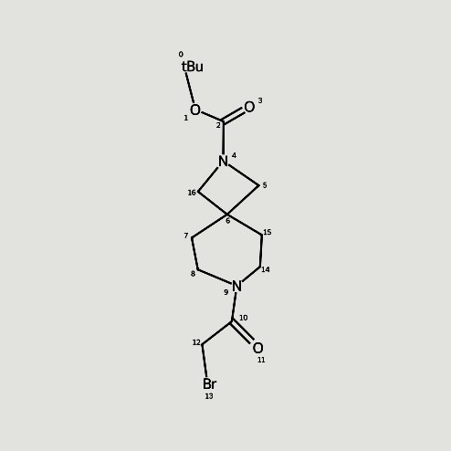 CC(C)(C)OC(=O)N1CC2(CCN(C(=O)CBr)CC2)C1